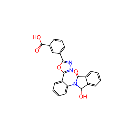 O=C(O)c1cccc(-c2nnc(-c3ccccc3N3C(=O)c4ccccc4C3O)o2)c1